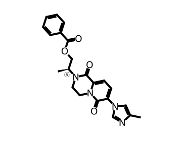 Cc1cn(-c2ccc3n(c2=O)CCN([C@@H](C)COC(=O)c2ccccc2)C3=O)cn1